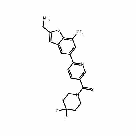 NCc1cc2cc(-c3ccc(C(=S)N4CCC(F)(F)CC4)cn3)cc(C(F)(F)F)c2s1